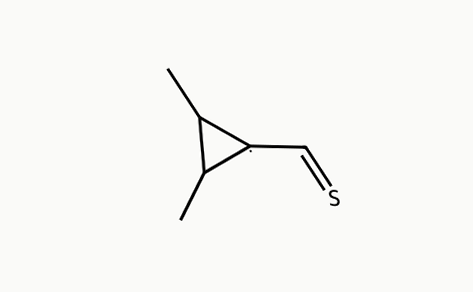 CC1[C](C=S)C1C